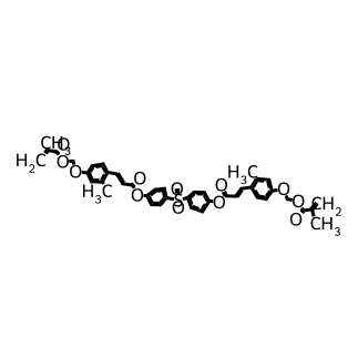 C=C(C)C(=O)OCOc1ccc(C=CC(=O)Oc2ccc(S(=O)(=O)c3ccc(OC(=O)C=Cc4ccc(OCOC(=O)C(=C)C)cc4C)cc3)cc2)c(C)c1